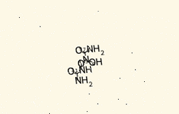 NC(=O)NON(O)C(N)=O